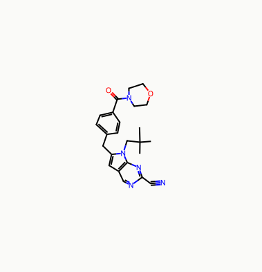 CC(C)(C)Cn1c(Cc2ccc(C(=O)N3CCOCC3)cc2)cc2cnc(C#N)nc21